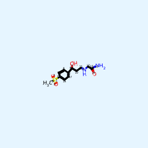 CS(=O)(=O)c1ccc(C(O)CCNCC(N)=O)cc1